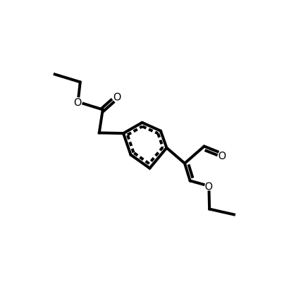 CCOC=C(C=O)c1ccc(CC(=O)OCC)cc1